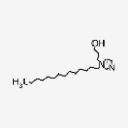 CCCCCCCCCCCCCC[N+]1(CCCO)C=NCC1